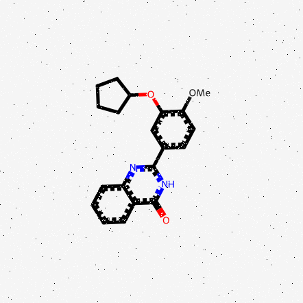 COc1ccc(-c2nc3ccccc3c(=O)[nH]2)cc1OC1CCCC1